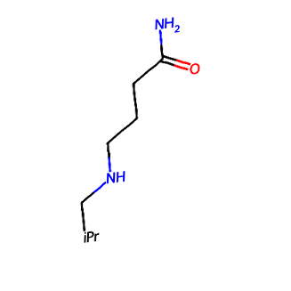 CC(C)CNCCCC(N)=O